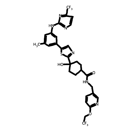 Cc1cc(Nc2nccc(C(F)(F)F)n2)cc(-c2cnc(C3(O)CCC(C(=O)NCc4ccc(OCC(F)(F)F)nc4)CC3)s2)c1